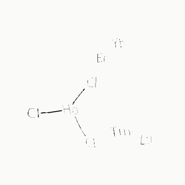 [Cl][Ho]([Cl])[Cl].[Er].[Lu].[Tm].[Yb]